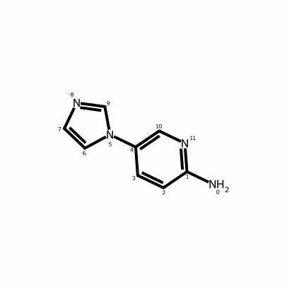 Nc1ccc(-n2ccnc2)cn1